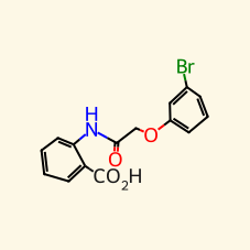 O=C(COc1cccc(Br)c1)Nc1ccccc1C(=O)O